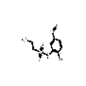 CCCS(=O)(=O)Nc1cc(N=O)ccc1C